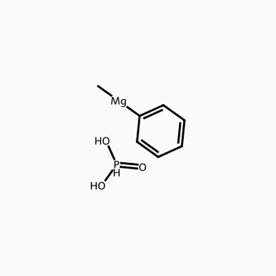 O=[PH](O)O.[CH3][Mg][c]1ccccc1